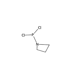 ClP(Cl)N1CCC1